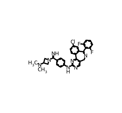 CN(C)C1CN(C(=N)c2ccc(Nc3ncc4c(n3)-c3ccc(Cl)cc3C(c3c(F)cccc3F)=NC4)cc2)C1